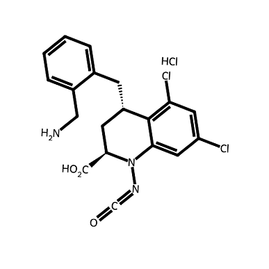 Cl.NCc1ccccc1C[C@H]1C[C@H](C(=O)O)N(N=C=O)c2cc(Cl)cc(Cl)c21